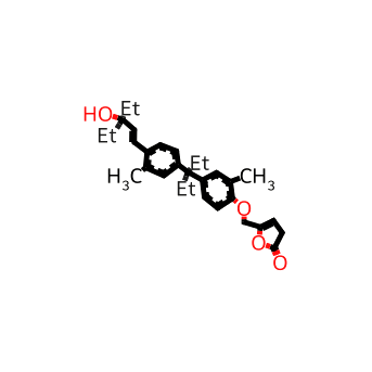 CCC(O)(C=Cc1ccc(C(CC)(CC)c2ccc(OCC3=CCC(=O)O3)c(C)c2)cc1C)CC